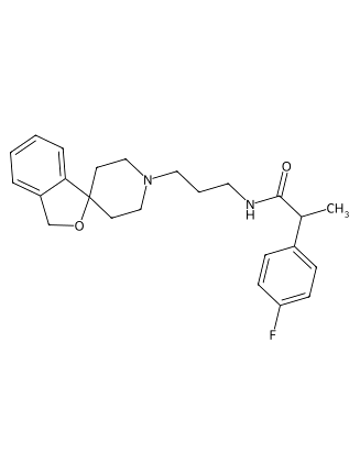 CC(C(=O)NCCCN1CCC2(CC1)OCc1ccccc12)c1ccc(F)cc1